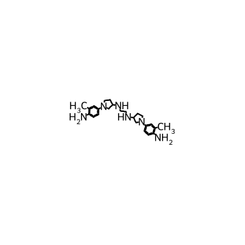 Cc1cc(N2CCC(NCCNC3CCN(c4ccc(N)c(C)c4)C3)C2)ccc1N